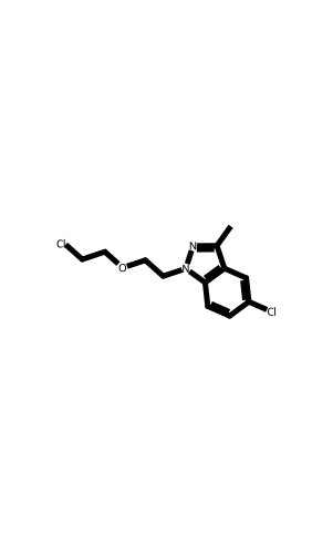 Cc1nn(CCOCCCl)c2ccc(Cl)cc12